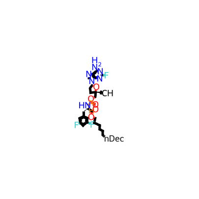 C#C[C@@]1(CO[PH](=O)N[C@@H](Cc2cc(F)cc(F)c2)C(=O)OCCCCCCCCCCCCCCCC)CC[C@H](n2cnc3c(N)nc(F)nc32)O1